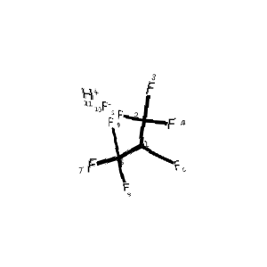 FC(C(F)(F)F)C(F)(F)F.[F-].[H+]